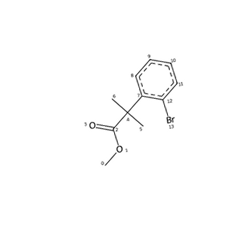 COC(=O)C(C)(C)c1ccccc1Br